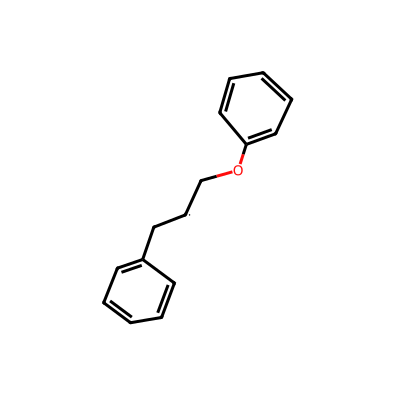 [CH](COc1ccccc1)Cc1ccccc1